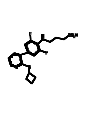 O=C(O)CCCNc1c(F)cc(-c2cccnc2SC2CCC2)cc1F